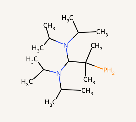 CC(C)N(C(C)C)C(N(C(C)C)C(C)C)C(C)(C)P